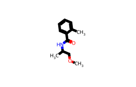 COCC(C)NC(=O)c1ccccc1C